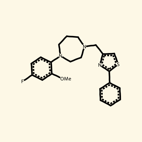 COc1cc(F)ccc1N1CCCN(Cc2csc(-c3ccccc3)n2)CC1